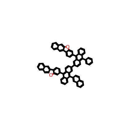 c1ccc(-c2c3ccccc3c(-c3ccc4c(c3)oc3cc5ccccc5cc34)c3cc(-c4ccc5c(-c6ccc7c(c6)oc6cc8ccccc8cc67)c6ccccc6c(-c6ccc7ccccc7c6)c5c4)ccc23)cc1